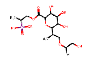 CC(C)C(CO)OCC(C)C1OC(C(=O)OCC(C)P(=O)(O)O)C(O)C(O)C1O